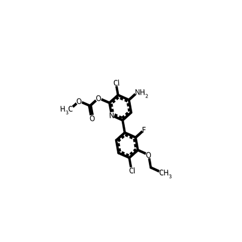 CCOc1c(Cl)ccc(-c2cc(N)c(Cl)c(OC(=O)OC)n2)c1F